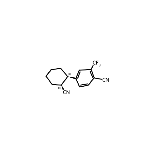 N#Cc1ccc([C@@H]2CCCC[C@@H]2C#N)cc1C(F)(F)F